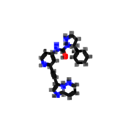 O=C(Nc1ccnc(C#Cc2cnc3cccnn23)c1)N1N=CC[C@H]1c1ccccc1